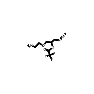 [N-]=[N+]=NCC(COCCN)OC(=O)C(F)(F)F